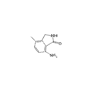 Cc1ccc(N)c2c1CNC2=O